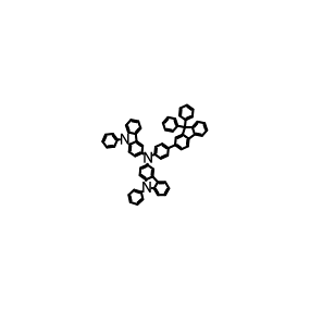 c1ccc(-n2c3ccccc3c3cc(N(c4ccc(-c5ccc6c(c5)C(c5ccccc5)(c5ccccc5)c5ccccc5-6)cc4)c4ccc5c(c4)c4ccccc4n5-c4ccccc4)ccc32)cc1